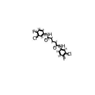 O=C(CCCC(=O)Nc1ccc(F)c(Cl)c1)Nc1ccc(F)c(Cl)c1